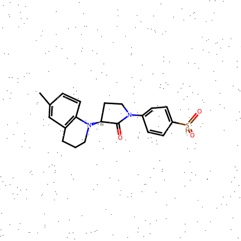 Cc1ccc2c(c1)CCCN2[C@H]1CCN(c2ccc([SH](=O)=O)cc2)C1=O